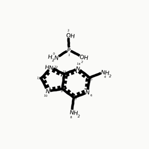 NP(O)O.Nc1nc(N)c2nc[nH]c2n1